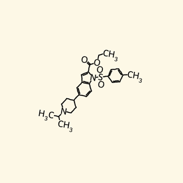 CCOC(=O)c1cc2cc(C3CCN(C(C)C)CC3)ccc2n1S(=O)(=O)c1ccc(C)cc1